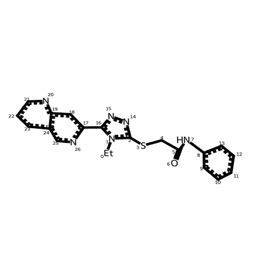 CCn1c(SCC(=O)Nc2ccccc2)nnc1-c1cc2ncccc2cn1